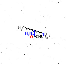 CCCCCCCCCCCCN(C)C.CCNC(N)=O